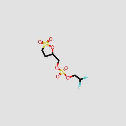 O=S1(=O)CCC(COS(=O)(=O)OCC(F)F)O1